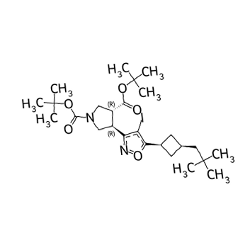 CC(C)(C)C[C@H]1C[C@@H](c2onc([C@H]3CN(C(=O)OC(C)(C)C)C[C@@H]3C(=O)OC(C)(C)C)c2I)C1